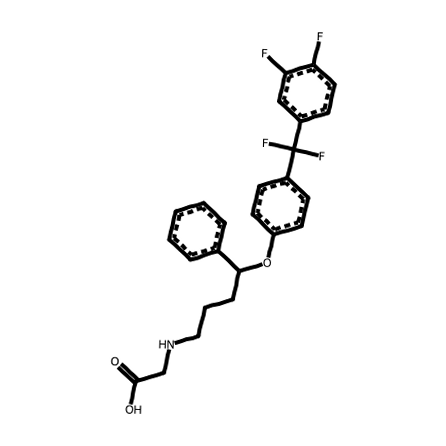 O=C(O)CNCCCC(Oc1ccc(C(F)(F)c2ccc(F)c(F)c2)cc1)c1ccccc1